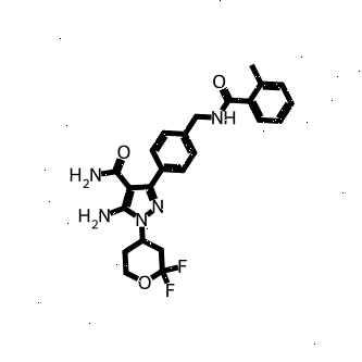 Cc1ccccc1C(=O)NCc1ccc(-c2nn(C3CCOC(F)(F)C3)c(N)c2C(N)=O)cc1